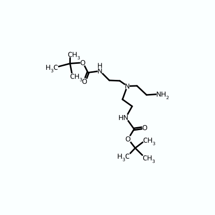 CC(C)(C)OC(=O)NCCN(CCN)CCNC(=O)OC(C)(C)C